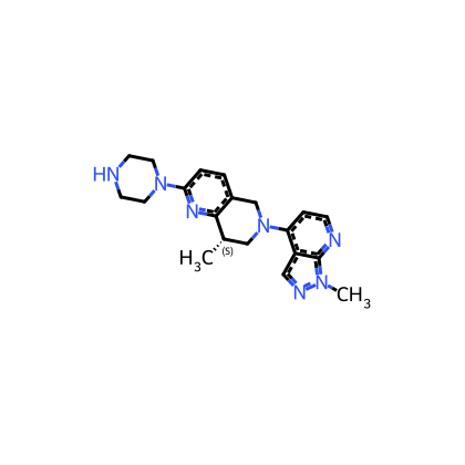 C[C@H]1CN(c2ccnc3c2cnn3C)Cc2ccc(N3CCNCC3)nc21